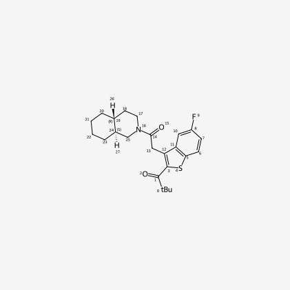 CC(C)(C)C(=O)c1sc2ccc(F)cc2c1CC(=O)N1CC[C@H]2CCCC[C@@H]2C1